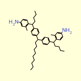 CCCCCCCCCC(c1ccc(C(CCCC)c2ccc(N)cc2C)cc1)c1ccc(C(CCCC)c2ccc(N)cc2C)cc1